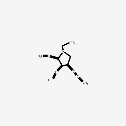 C=C=C=C1CN(CC)C(=C=C)C1=C=C